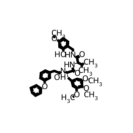 COc1ccc(CNC(=O)[C@@H](NC(=O)[C@H](Cc2cc(OC)c(OC)c(OC)c2)NC(=O)Cc2cccc(Oc3ccccc3)c2)C(C)C)c(O)c1